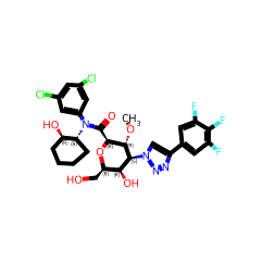 CO[C@@H]1[C@@H](n2cc(-c3cc(F)c(F)c(F)c3)nn2)[C@@H](O)[C@@H](CO)O[C@H]1C(=O)N(c1cc(Cl)cc(Cl)c1)[C@@H]1CCCC[C@H]1O